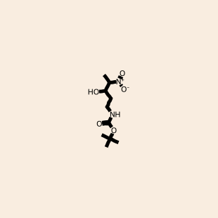 CC(C(O)CCNC(=O)OC(C)(C)C)[N+](=O)[O-]